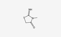 CN1C(=N)SCC1=O